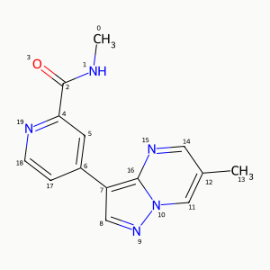 CNC(=O)c1cc(-c2cnn3cc(C)cnc23)ccn1